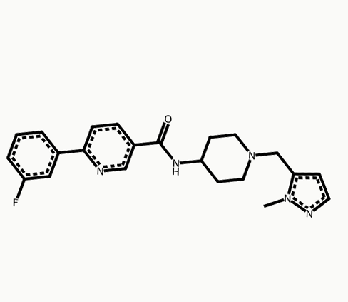 Cn1nccc1CN1CCC(NC(=O)c2ccc(-c3cccc(F)c3)nc2)CC1